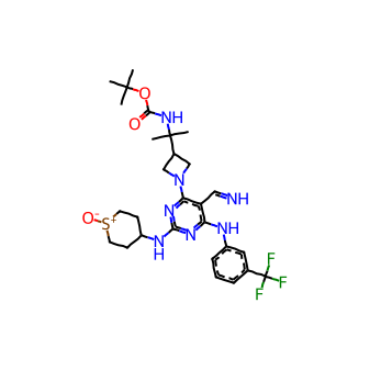 CC(C)(C)OC(=O)NC(C)(C)C1CN(c2nc(NC3CC[S+]([O-])CC3)nc(Nc3cccc(C(F)(F)F)c3)c2C=N)C1